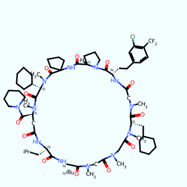 CC[C@H](C)[C@@H]1NC(=O)[C@H](CC(C)C)NC(=O)C[C@@H](C(=O)N2CCCCC2)N(C)C(=O)[C@H](C2CCCCC2)N(C)C(=O)C2(CCCC2)NC(=O)[C@@H]2CCCN2C(=O)[C@H](CCc2ccc(C(F)(F)F)c(Cl)c2)NC(=O)CN(C)C(=O)[C@H](CC2CCCCC2)N(C)C(=O)CN(C)C(=O)CN(C)C1=O